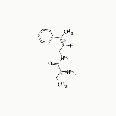 CC[C@H](N)C(=O)NC/C(F)=C(/C)c1ccccc1